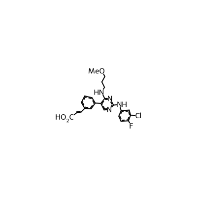 COCCCNc1nc(Nc2ccc(F)c(Cl)c2)ncc1-c1cccc(/C=C/C(=O)O)c1